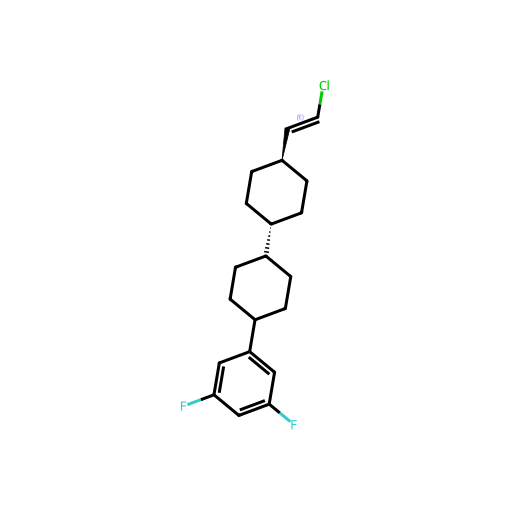 Fc1cc(F)cc(C2CCC([C@H]3CC[C@H](/C=C/Cl)CC3)CC2)c1